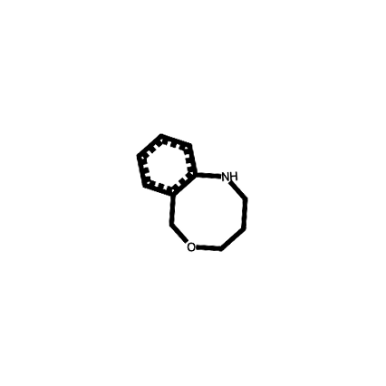 c1ccc2c(c1)COCCCN2